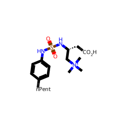 CCCCCc1ccc(NS(=O)(=O)N[C@H](CC(=O)O)C[N+](C)(C)C)cc1